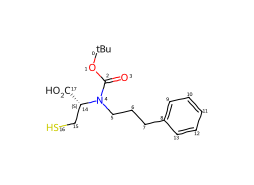 CC(C)(C)OC(=O)N(CCCc1ccccc1)[C@H](CS)C(=O)O